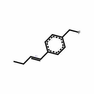 CC/C=C/c1ccc(CF)cc1